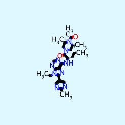 CCC[C@H](Nc1ncnc2c1nc(-c1cnc(C)nc1)n2CC)C(=O)N1C[C@@H](C)N(C(C)=O)[C@@H](C)C1